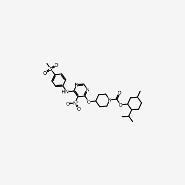 CC1CCC(C(C)C)C(OC(=O)N2CCC(Oc3ncnc(Nc4ccc(S(C)(=O)=O)cc4)c3[N+](=O)[O-])CC2)C1